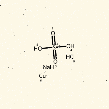 Cl.O=S(=O)(O)O.[Cu].[NaH]